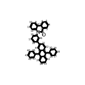 O=c1c2ccccc2c2ccccc2n1-c1cccc(-c2ccc3c(-c4ccccc4)c4ccccc4c(-c4ccccc4)c3c2)c1